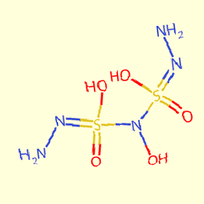 NN=S(=O)(O)N(O)S(=O)(O)=NN